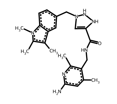 Cc1cc(N)nc(C)c1CNC(=O)C1=CN(Cc2ccc3c(c2)c(C)c(C)n3C)NN1